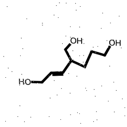 OCC=CC(CO)CCCO